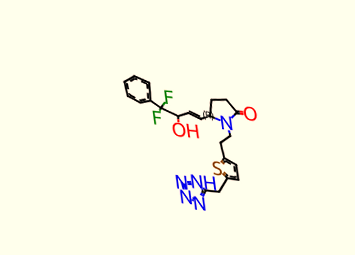 O=C1CC[C@H](C=CC(O)C(F)(F)c2ccccc2)N1CCc1ccc(Cc2nnn[nH]2)s1